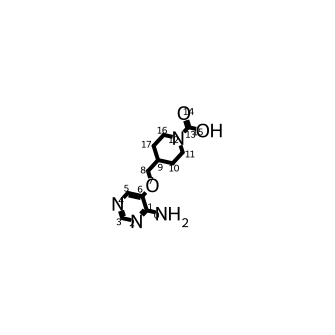 Nc1ncncc1OCC1CCN(C(=O)O)CC1